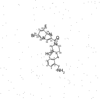 NCc1ccccc1CC1CCN(C(=O)c2cn3cc(Br)cc(F)c3n2)C[C@H]1O